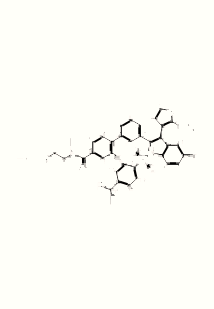 N#Cc1sccc1-c1c(-c2cccc(-c3ccc(C(=O)NCCS(=O)(=O)O)cc3Cl)c2)n(S(=O)(=O)c2ccc(C(F)F)cc2)c2ccc(F)cc12